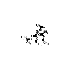 CCOC(N)=O.CCOC(N)=O.NC(N)=O.NC(N)=O